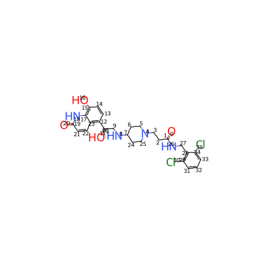 O=C(CCN1CCC(NC[C@H](O)c2ccc(O)c3[nH]c(=O)ccc23)CC1)NCc1c(Cl)cccc1Cl